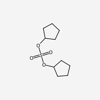 O=S(=O)(OC1CCCC1)OC1CCCC1